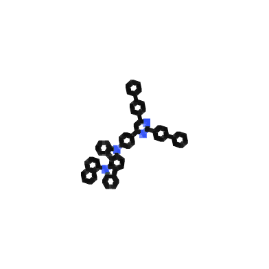 c1ccc(-c2ccc(-c3cc(-c4ccc(-n5c6ccccc6c6c5ccc5c7ccccc7n(-c7cccc8ccccc78)c56)cc4)nc(-c4ccc(-c5ccccc5)cc4)n3)cc2)cc1